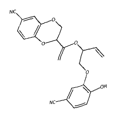 C=CC(COc1cc(C#N)ccc1O)OC(=C)C1COc2cc(C#N)ccc2O1